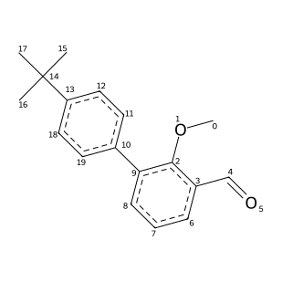 COc1c(C=O)cccc1-c1ccc(C(C)(C)C)cc1